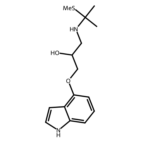 CSC(C)(C)NCC(O)COc1cccc2[nH]ccc12